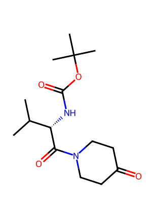 CC(C)[C@H](NC(=O)OC(C)(C)C)C(=O)N1CCC(=O)CC1